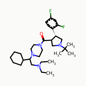 CCN(CC)CC(C1CCCCC1)N1CCN(C(=O)C2CN(C(C)(C)C)C[C@H]2c2ccc(F)cc2F)CC1